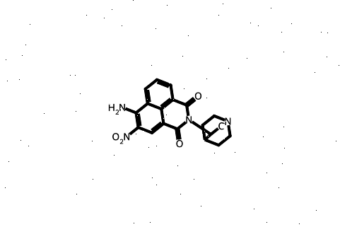 Nc1c([N+](=O)[O-])cc2c3c(cccc13)C(=O)N(C1CN3CCC1CC3)C2=O